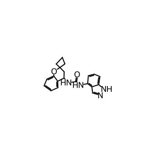 O=C(Nc1cccc2[nH]ncc12)NC1CC2(CCC2)Oc2ccccc21